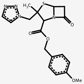 COc1ccc(COC(=O)C2N3C(=O)CC3SC2(C)Cn2ccnn2)cc1